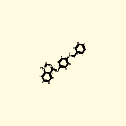 c1ccc(CSc2ccc(Oc3ncnc4ccccc34)cc2)cc1